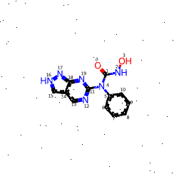 O=C(NO)N(c1ccccc1)c1ncc2c[nH]nc2n1